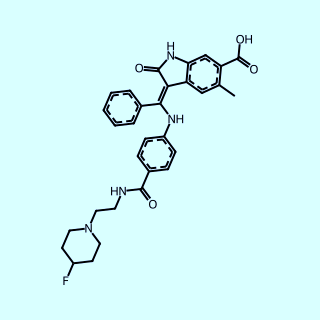 Cc1cc2c(cc1C(=O)O)NC(=O)C2=C(Nc1ccc(C(=O)NCCN2CCC(F)CC2)cc1)c1ccccc1